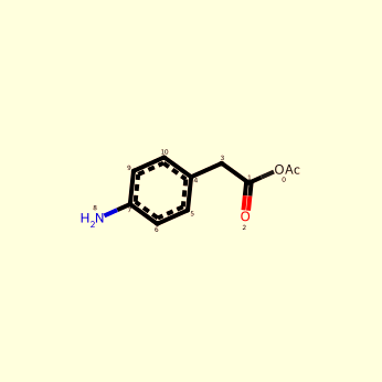 CC(=O)OC(=O)Cc1ccc(N)cc1